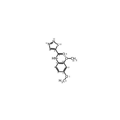 COc1ccc(NC(=O)c2cnns2)c(OC)c1